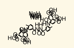 Cc1ccc(C(=O)NC(=O)NC(=O)c2ccc(C)c(Nc3ccc(S(=O)(=O)O)c4cc(S(=O)(=O)O)cc(O)c34)c2)cc1Nc1ccc(S(=O)(=O)O)c2cc(S(=O)(=O)O)cc(O)c12.[NaH].[NaH].[NaH].[NaH]